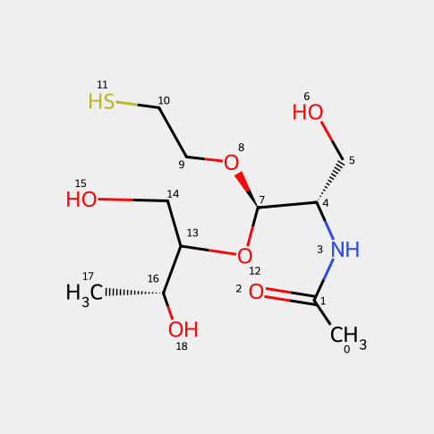 CC(=O)N[C@@H](CO)[C@H](OCCS)OC(CO)[C@@H](C)O